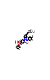 CC1=CC[C@H](C(=O)N(c2csc(C#CC(C)(C)C)c2)[C@H]2CC[C@](O)(COC3CCCC3)CC2)CC1